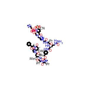 CC[C@H](C)[C@@H]([C@@H](CC(=O)N1CCC[C@H]1[C@H](OC)[C@@H](C)C(=O)N[C@H](C)[C@@H](O)c1ccccc1)OC)N(C)C(=O)[C@@H](NC(=O)[C@H](C(C)C)N(C)C(=O)OCc1ccc(NC(=O)[C@H](CCCNC(N)=O)NC(=O)[C@@H](NC(=O)Cn2cc(CN(CCOP(=O)([O-])OCC[N+](C)(C)C)C(=O)c3cnc(S(C)(=O)=O)c(C#N)c3)nn2)C(C)C)cc1)C(C)C